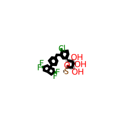 CS[C@H]1O[C@@H](c2ccc(Cl)c(Cc3ccc(C45CC(F)(F)CC4CC(F)(F)C5)cc3)c2)[C@H](O)[C@@H](O)[C@@H]1O